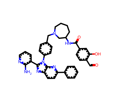 Nc1ncccc1-c1nc2ccc(-c3ccccc3)nc2n1-c1ccc(CN2CCCCC(NC(=O)c3ccc(C=O)c(O)c3)C2)cc1